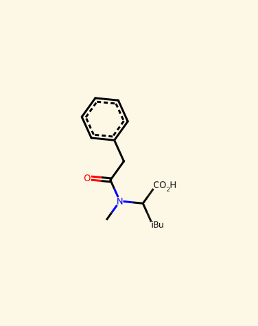 CCC(C)C(C(=O)O)N(C)C(=O)Cc1ccccc1